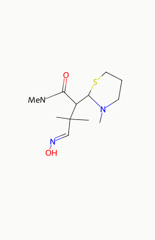 CNC(=O)C(C1SCCCN1C)C(C)(C)C=NO